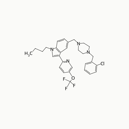 CCCCn1cc(-c2ccc(OC(F)(F)F)cn2)c2cc(CN3CCN(Cc4ccccc4Cl)CC3)ccc21